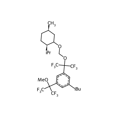 CCC(C)c1cc(C(OC)(C(F)(F)F)C(F)(F)F)cc(C(OCOC2C[C@H](C)CC[C@@H]2C(C)C)(C(F)(F)F)C(F)(F)F)c1